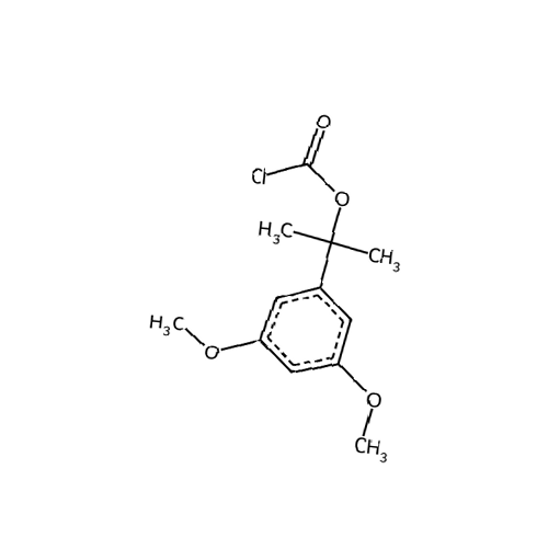 COc1cc(OC)cc(C(C)(C)OC(=O)Cl)c1